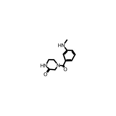 CNc1cccc(C(=O)N2CCNC(=O)C2)c1